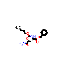 CCCCOC(=O)N[C@@H](CCC(N)=O)C(=O)OCc1ccccc1